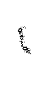 O=C(NCCOc1ccc(C(=S)NO)cc1)c1cccc(Oc2ccc([N+](=O)[O-])cc2)n1